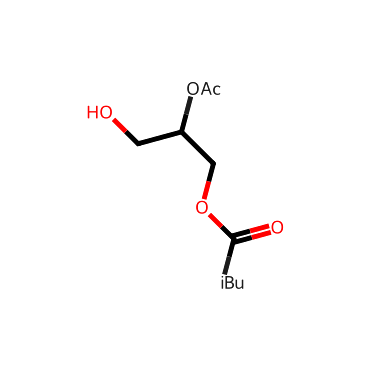 CCC(C)C(=O)OCC(CO)OC(C)=O